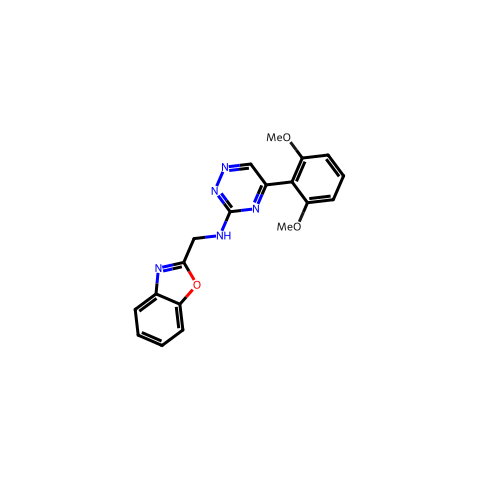 COc1cccc(OC)c1-c1cnnc(NCc2nc3ccccc3o2)n1